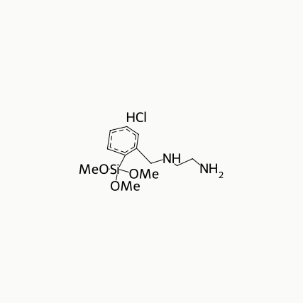 CO[Si](OC)(OC)c1ccccc1CNCCN.Cl